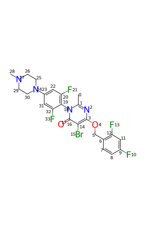 Cc1nc(OCc2ccc(F)cc2F)c(Br)c(=O)n1-c1c(F)cc(N2CCN(C)CC2)cc1F